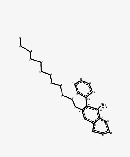 CCCCCCCCCCCCc1cc2ccccc2c(N)c1-c1ccccc1